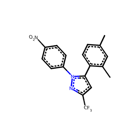 Cc1ccc(-c2cc(C(F)(F)F)nn2-c2ccc([N+](=O)[O-])cc2)c(C)c1